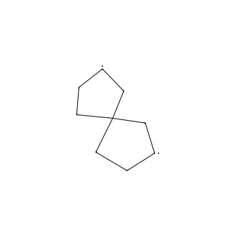 [CH]1CCC2(C1)C[CH]CC2